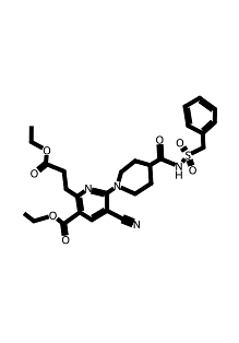 CCOC(=O)CCc1nc(N2CCC(C(=O)NS(=O)(=O)Cc3ccccc3)CC2)c(C#N)cc1C(=O)OCC